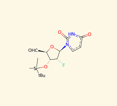 CC(C)(C)[Si](C)(C)O[C@H]1[C@@H](F)[C@H](n2ccc(=O)[nH]c2=O)O[C@@H]1C=O